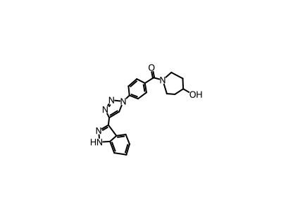 O=C(c1ccc(-n2cc(-c3n[nH]c4ccccc34)nn2)cc1)N1CCC(O)CC1